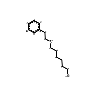 BrCCCCCCSCCc1ccccc1